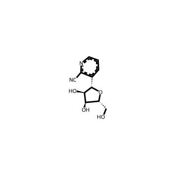 N#Cc1ncccc1[C@@H]1O[C@H](CO)[C@@H](O)[C@H]1O